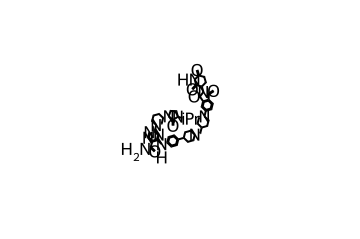 CC(C)N1CCN(C2CCCN(c3nnc(C(N)=O)c(Nc4ccc(C5CCN(CC6CCN(c7ccc8c(c7)C(=O)N(C7CCC(=O)NC7=O)C8=O)CC6)CC5)cc4)n3)C2)C1=O